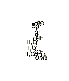 COc1cc(C)c(/C=C/C(C)=C/C=C/C(C)=C/C(=O)Nc2cc[n+](CCCOc3c4occc4cc4ccc(=O)oc34)cc2)c(C)c1C